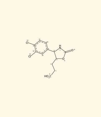 O=C(O)CCC1OC(=O)NC1c1ccc(Cl)c(Cl)c1